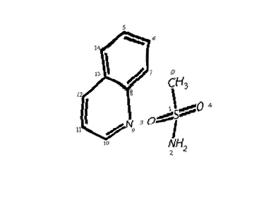 CS(N)(=O)=O.c1ccc2ncccc2c1